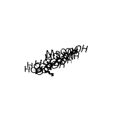 C=CCCCO[C@@H]1OC(C)[C@H](O)[C@H](O)C1O[C@@H]1OC(C)[C@H](O)[C@H](O[C@@H]2OC(C)[C@H](O)[C@H](O[C@@H]3OC(C)[C@@H](NC(=O)CC(C)(C)O)[C@H](O)C3OC)C2O)C1O